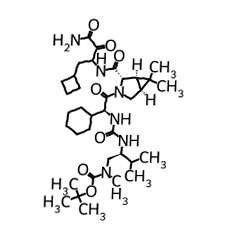 CC(C)[C@@H](CN(C)C(=O)OC(C)(C)C)NC(=O)N[C@H](C(=O)N1C[C@H]2[C@@H]([C@H]1C(=O)NC(CC1CCC1)C(=O)C(N)=O)C2(C)C)C1CCCCC1